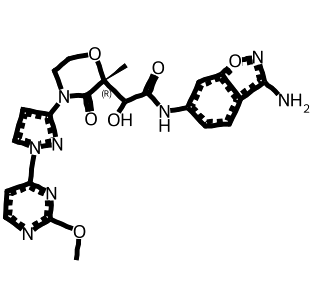 COc1nccc(-n2ccc(N3CCO[C@](C)(C(O)C(=O)Nc4ccc5c(N)noc5c4)C3=O)n2)n1